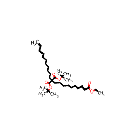 C=CCCCCCCCCCC(CCCCCCCCCC(=O)OCC)(C(=O)OC(C)(C)C)C(=O)OC(C)(C)C